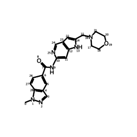 Cn1ncc2cc(C(=O)Nc3cc4[nH]c(CN5CCOCC5)cc4cn3)ccc21